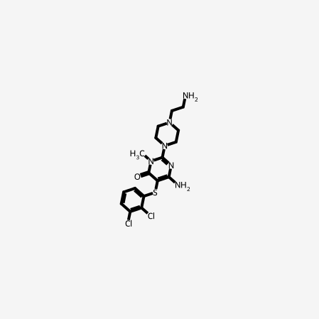 Cn1c(N2CCN(CCN)CC2)nc(N)c(Sc2cccc(Cl)c2Cl)c1=O